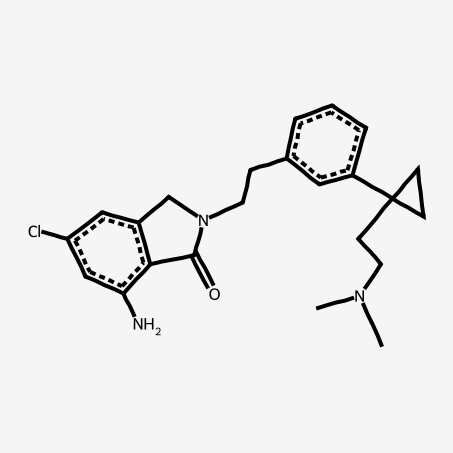 CN(C)CCC1(c2cccc(CCN3Cc4cc(Cl)cc(N)c4C3=O)c2)CC1